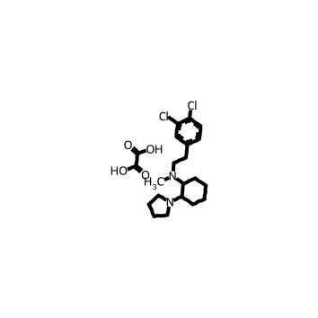 CN(CCc1ccc(Cl)c(Cl)c1)C1CCCCC1N1CCCC1.O=C(O)C(=O)O